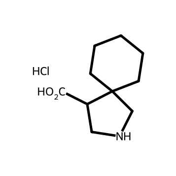 Cl.O=C(O)C1CNCC12CCCCC2